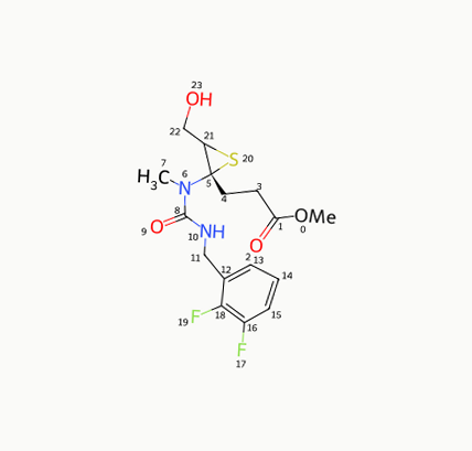 COC(=O)CC[C@]1(N(C)C(=O)NCc2cccc(F)c2F)SC1CO